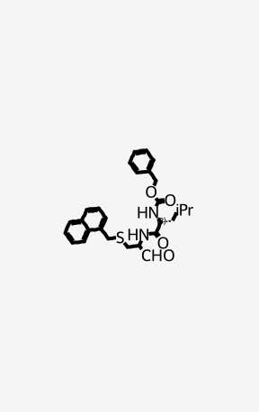 CC(C)C[C@@H](NC(=O)OCc1ccccc1)C(=O)NC(C=O)CSCc1cccc2ccccc12